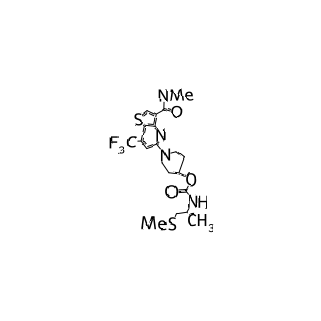 CNC(=O)c1csc2c(C(F)(F)F)cc(N3CCC(OC(=O)NC(C)CSC)CC3)nc12